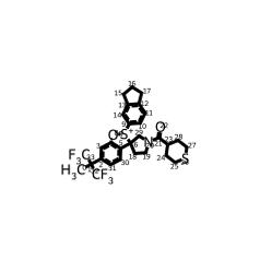 CC(c1ccc(C2([S+]([O-])c3ccc4c(c3)CCC4)CCN(C(=O)C3CCSCC3)C2)cc1)(C(F)(F)F)C(F)(F)F